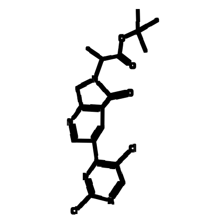 CC(C(=O)OC(C)(C)C)N1Cc2ncc(-c3nc(Cl)ncc3Cl)cc2C1=O